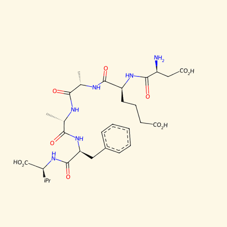 CC(C)[C@H](NC(=O)[C@H](Cc1ccccc1)NC(=O)[C@H](C)NC(=O)[C@H](C)NC(=O)[C@H](CCCC(=O)O)NC(=O)[C@@H](N)CC(=O)O)C(=O)O